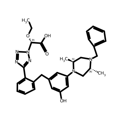 CCO[C@H](C(=O)O)n1nnc(-c2ccccc2Cc2cc(O)cc(N3C[C@@H](C)N(Cc4ccccc4)C[C@@H]3C)c2)n1